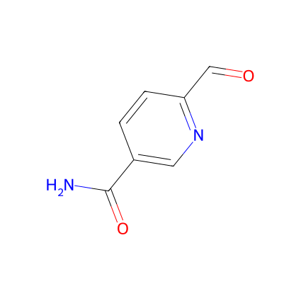 NC(=O)c1ccc(C=O)nc1